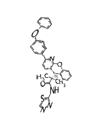 CC(C)(C(=O)Nc1nncs1)[C@H]1c2ccccc2Oc2nc(-c3ccc(Oc4ccccc4)cc3)ccc21